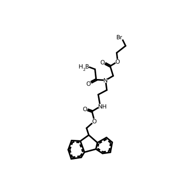 BCC(=O)N(CCNC(=O)OCC1c2ccccc2-c2ccccc21)CC(=O)OCCBr